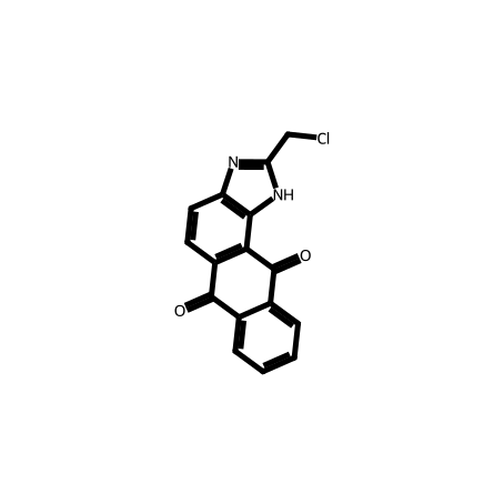 O=C1c2ccccc2C(=O)c2c1ccc1nc(CCl)[nH]c21